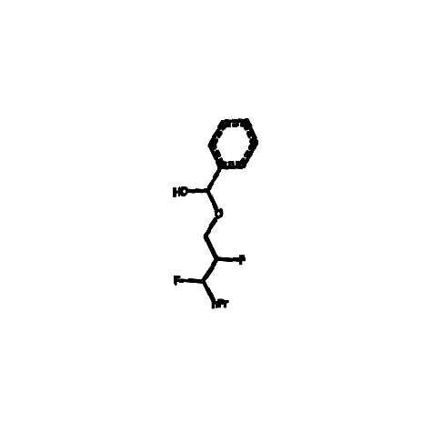 CCCC(F)C(F)COC(O)c1ccccc1